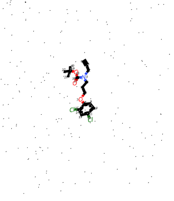 C#CCN(CCCOc1ccc(Cl)cc1Cl)C(=O)OC(C)(C)C